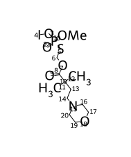 COP(=O)(OI)SCOC(=O)C(C)(C)CCN1CCOCC1